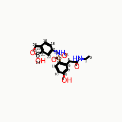 CCNC(=O)Cc1cc(O)ccc1S(=O)(=O)Nc1ccc2c(c1)B(O)OC2